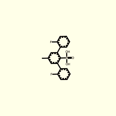 Cc1cc(-c2ccccc2F)c(P(=O)(O)O)c(-c2ccccc2F)c1